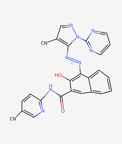 [C-]#[N+]c1ccc(NC(=O)c2cc3ccccc3c(/N=N/c3c([N+]#[C-])cnn3-c3ncccn3)c2O)nc1